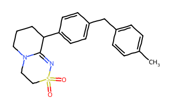 Cc1ccc(Cc2ccc(C3CCCN4CCS(=O)(=O)N=C34)cc2)cc1